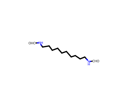 O=CNCCCCCCCCCCNC=O